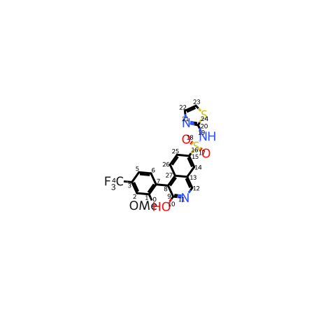 COc1cc(C(F)(F)F)ccc1-c1c(O)ncc2cc(S(=O)(=O)Nc3nccs3)ccc12